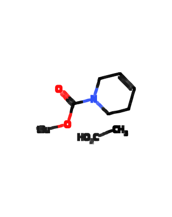 CC(=O)O.CC(C)(C)OC(=O)N1CC=CCC1